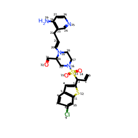 C=CC(c1cc2ccc(Cl)cc2s1)S(=O)(=O)N1CCN(C=CCc2cnccc2N)C(C=O)C1